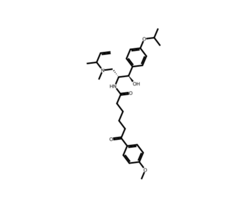 C=CC(C)N(C)C[C@@H](NC(=O)CCCCC(=O)c1ccc(OC)cc1)[C@H](O)c1ccc(OC(C)C)cc1